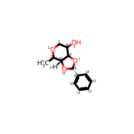 CC1OCC(O)C2O[C@H](c3ccccc3)O[C@H]12